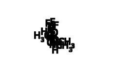 CC(C)[C@H]1C=Cc2c(cn(C)c2C(=O)Nc2cc(F)c(F)c(F)c2)S(=N)(=O)N1